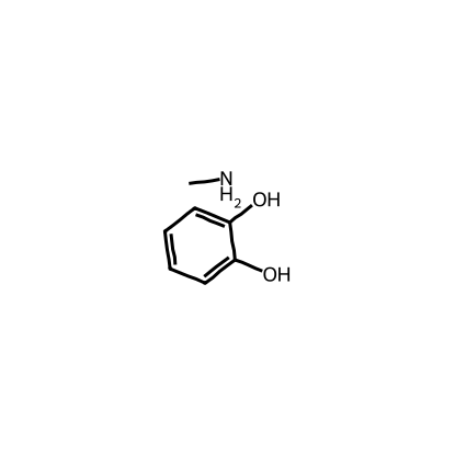 CN.Oc1ccccc1O